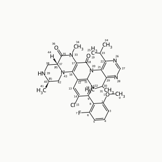 COc1cccc(F)c1-c1nc2c(cc1Cl)c1c(c(=O)n2-c2c(C(C)C)ncnc2C(C)C)N(C)C(=O)[C@H]2CN[C@H](C)CN12